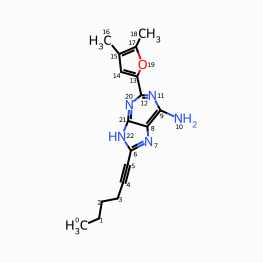 CCCCC#Cc1nc2c(N)nc(-c3cc(C)c(C)o3)nc2[nH]1